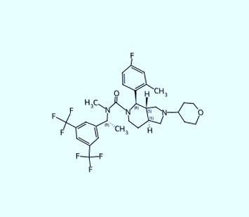 Cc1cc(F)ccc1[C@H]1[C@@H]2CN(C3CCOCC3)C[C@H]2CCN1C(=O)N(C)[C@H](C)c1cc(C(F)(F)F)cc(C(F)(F)F)c1